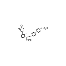 Cc1c(/C(CCc2ccc(-c3ccc(C(=O)O)cc3)cc2)=N/O)cccc1C1CCC(=O)N(C)C1